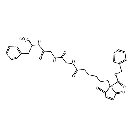 O=C(CCCCC[N+]1(C(=O)OCc2ccccc2)C(=O)C=CC1=O)NCC(=O)NCC(=O)N[C@@H](Cc1ccccc1)C(=O)O